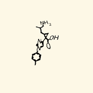 Cc1ccc(-n2cnc(C3(C(=O)O)CC3CC(C)CN)c2)cc1